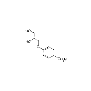 O=C(O)c1ccc(OCC(O)CO)cc1